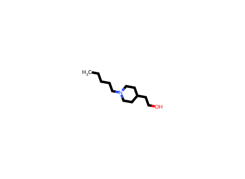 CCCCCN1CCC(CCO)CC1